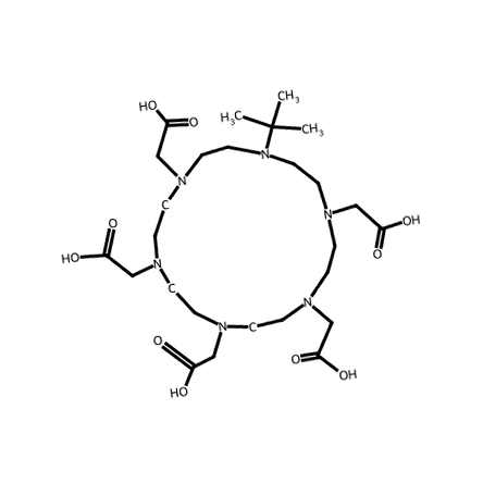 CC(C)(C)N1CCN(CC(=O)O)CCN(CC(=O)O)CCN(CC(=O)O)CCN(CC(=O)O)CCN(CC(=O)O)CC1